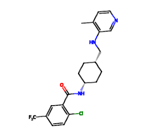 Cc1ccncc1NC[C@H]1CC[C@@H](NC(=O)c2cc(C(F)(F)F)ccc2Cl)CC1